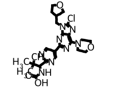 CC(C)(C)C(NC(=O)O)c1ncc(-c2nc(N3CCOCC3)c3nc(Cl)n(CC4CCOC4)c3n2)cn1